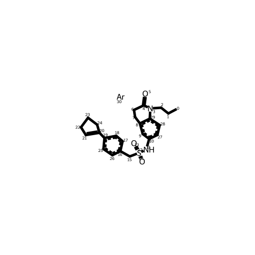 CCCN1C(=O)CCc2cc(NS(=O)(=O)Cc3ccc(C4=CCCC4)cc3)ccc21.[Ar]